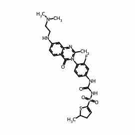 Cc1nc2cc(NCCN(C)C)ccc2c(=O)n1-c1ccc(NC(=O)NS(=O)(=O)C2=CCC(C)S2)cc1F